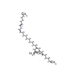 CCCCC/C=C/C/C=C\CCCCCCCCCC(CCCCCCCCC)CN(C)C